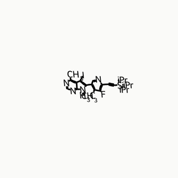 Cc1c(-c2c(I)c3c(C)ncnc3n2C)cnc(C#C[Si](C(C)C)(C(C)C)C(C)C)c1F